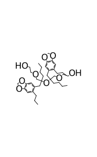 CCCCC(COCCO)(Cc1cc2c(cc1CCC)OCO2)OC(CCCC)(COCCO)Cc1cc2c(cc1CCC)OCO2